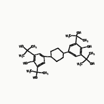 CC(C)(O)c1cc(C2CCC(c3cc(C(C)(C)O)c(O)c(C(C)(C)O)c3)CC2)cc(C(C)(C)O)c1O